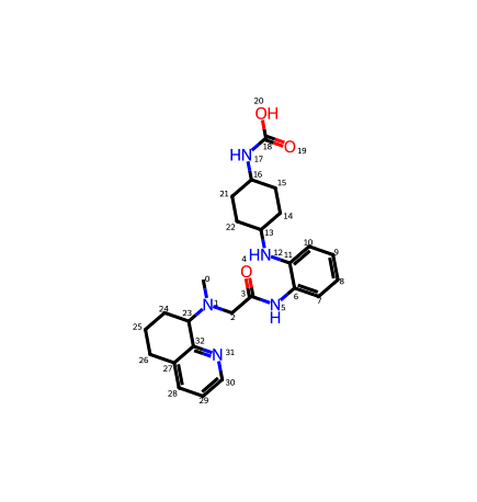 CN(CC(=O)Nc1ccccc1NC1CCC(NC(=O)O)CC1)C1CCCc2cccnc21